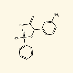 Nc1cccc(C(OP(=O)(O)c2ccccc2)C(=O)O)c1